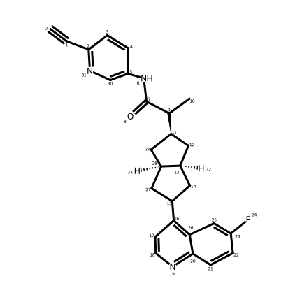 C#Cc1ccc(NC(=O)C(C)[C@H]2C[C@H]3CC(c4ccnc5ccc(F)cc45)C[C@H]3C2)cn1